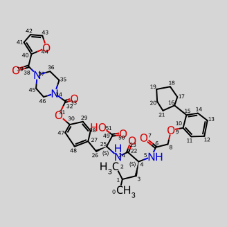 CC(C)C[C@H](NC(=O)COc1ccccc1C1CCCCC1)C(=O)N[C@@H](Cc1ccc(OC(=O)N2CCN(C(=O)c3ccco3)CC2)cc1)C(=O)O